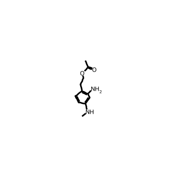 CNc1ccc(CCOC(C)=O)c(N)c1